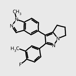 Cc1cc(-c2nn3c(c2-c2ccc4c(cnn4C)c2)CCC3)ccc1F